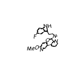 COc1ccc(-c2cccnc2C(=O)N(C)CCc2c[nH]c3ccc(F)cc23)cn1